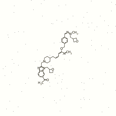 C=N/C(=C\C=C/CC1CCN(Cc2nc3ccc(C(C)=O)cc3n2CC2CCO2)CC1)OCc1ccc(/C=N\N(C)CC2COC2)cc1